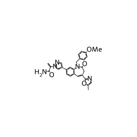 C=C(C(N)=O)n1cc(-c2ccc3c(c2)N(Cc2ccc(OC)cc2)C(=O)CC(c2ncc(C)o2)=C3)cn1